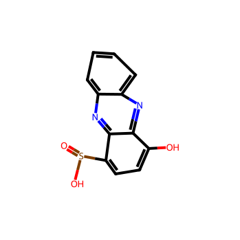 O=S(O)c1ccc(O)c2nc3ccccc3nc12